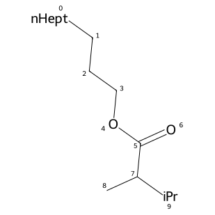 CCCCCCCCCCOC(=O)C(C)C(C)C